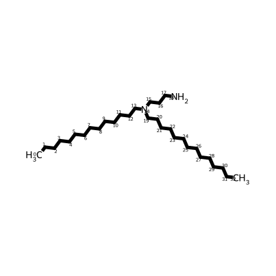 CCCCCCCCCCCCCCN(CCCN)CCCCCCCCCCCCCC